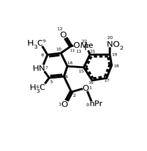 CCCOC(=O)C1=C(C)NC(C)=C(C(=O)OC)C1c1cccc([N+](=O)[O-])c1F